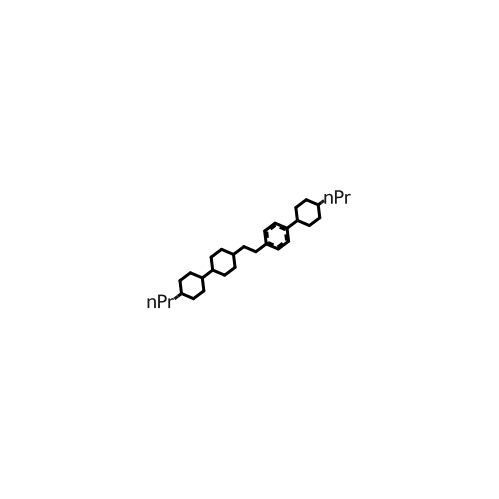 CCCC1CCC(c2ccc(CCC3CCC(C4CCC(CCC)CC4)CC3)cc2)CC1